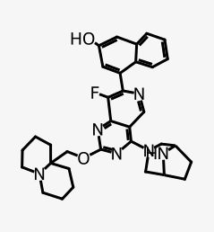 Oc1cc(-c2ncc3c(N4CC5CCC(C4)N5)nc(OCC45CCCCN4CCCC5)nc3c2F)c2ccccc2c1